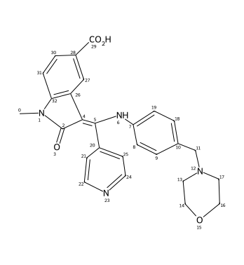 CN1C(=O)C(=C(Nc2ccc(CN3CCOCC3)cc2)c2ccncc2)c2cc(C(=O)O)ccc21